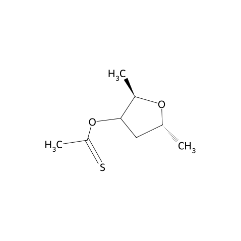 CC(=S)OC1C[C@@H](C)O[C@@H]1C